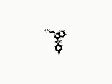 NCCn1cc(S(=O)(=O)c2ccc(F)cc2)c2cccnc21